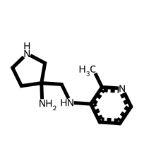 Cc1ncccc1NCC1(N)CCNC1